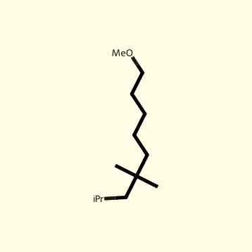 COCCCCCC(C)(C)CC(C)C